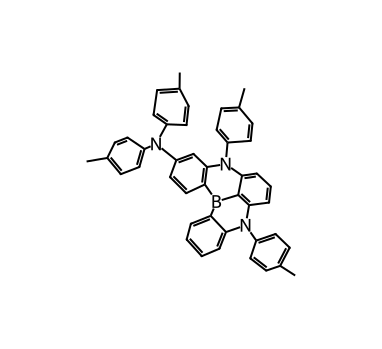 Cc1ccc(N(c2ccc(C)cc2)c2ccc3c(c2)N(c2ccc(C)cc2)c2cccc4c2B3c2ccccc2N4c2ccc(C)cc2)cc1